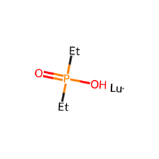 CCP(=O)(O)CC.[Lu]